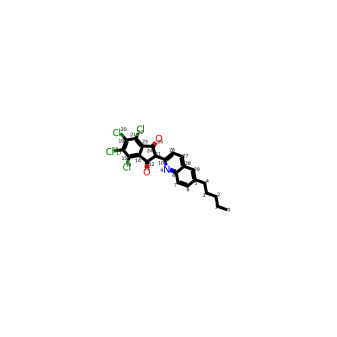 CCCCCc1ccc2nc(C3C(=O)c4c(Cl)c(Cl)c(Cl)c(Cl)c4C3=O)ccc2c1